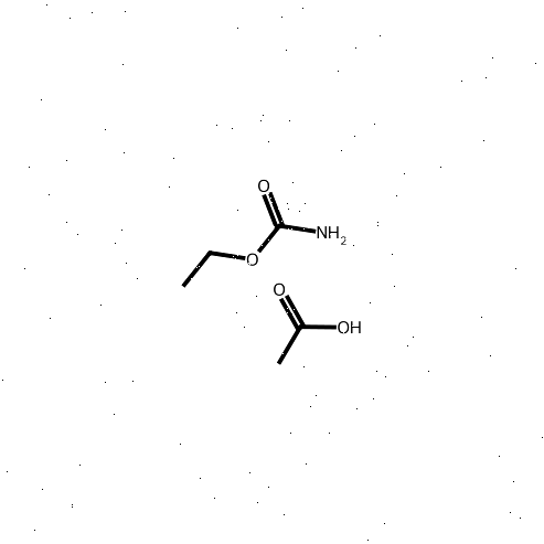 CC(=O)O.CCOC(N)=O